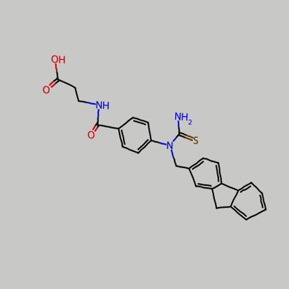 NC(=S)N(Cc1ccc2c(c1)Cc1ccccc1-2)c1ccc(C(=O)NCCC(=O)O)cc1